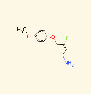 COc1ccc(OC/C(F)=C\CN)cc1